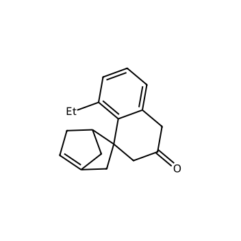 CCc1cccc2c1C1(CC(=O)C2)CC2=CCC1C2